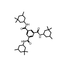 CC1CC(NC(=O)c2cc(C(=O)NC3CC(C)CC(C)(C)C3)cc(C(=O)NC3CC(C)CC(C)(C)C3)c2)CC(C)(C)C1